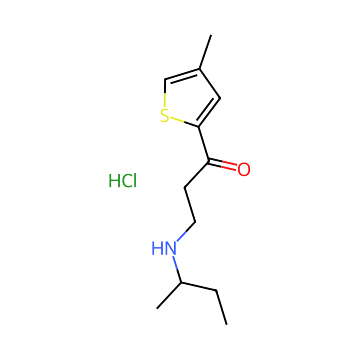 CCC(C)NCCC(=O)c1cc(C)cs1.Cl